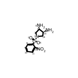 N[C@@H]1CN(S(=O)(=O)c2ccccc2[N+](=O)[O-])C[C@@H]1N